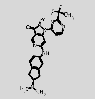 CC(C)n1c(=O)c2cnc(Nc3ccc4c(c3)CC(N(C)C)C4)cc2n1-c1ccnc(C(C)(C)F)n1